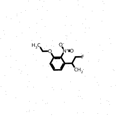 [CH2]C(CF)c1cccc(OCC)c1[N+](=O)[O-]